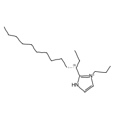 CCCCCCCCCC[C@H](CC)c1[nH]cc[n+]1CCC